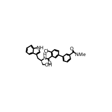 CNC(=O)c1cccc(-c2ccc(Cl)c(C(=O)N[C@@H](CO)Cc3c[nH]c4ccccc34)c2)c1